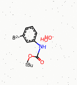 [B+2]c1cccc(NC(=O)OC(C)(C)C)c1.[OH-].[OH-]